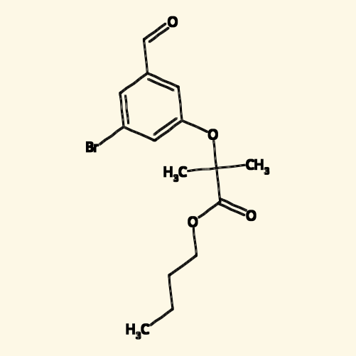 CCCCOC(=O)C(C)(C)Oc1cc(Br)cc(C=O)c1